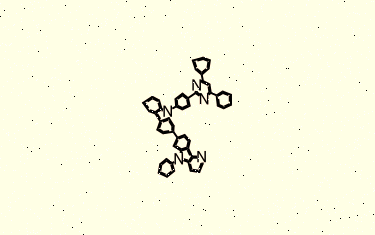 c1ccc(-c2cc(-c3ccccc3)nc(-c3ccc(-n4c5ccccc5c5ccc(-c6ccc7c8ncccc8n(-c8ccccc8)c7c6)cc54)cc3)n2)cc1